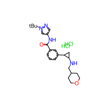 CC(C)(C)n1cc(NC(=O)c2cccc(C3CC3NCC3CCOCC3)c2)cn1.Cl.Cl